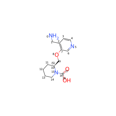 NCc1ccncc1OC[C@@H]1CCCCN1C(=O)O